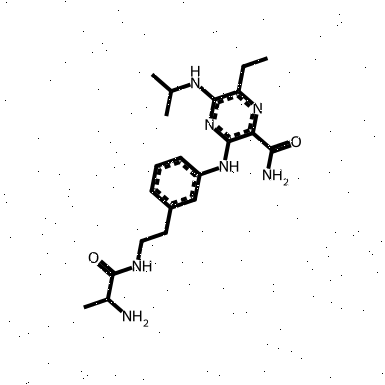 CCc1nc(C(N)=O)c(Nc2cccc(CCNC(=O)C(C)N)c2)nc1NC(C)C